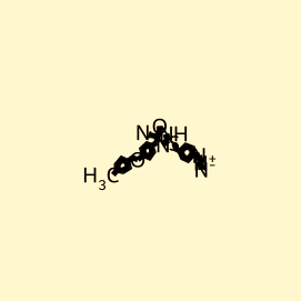 Cc1ccc(COc2ccc(-c3nc(SCc4ccc(N=[N+]=[N-])cc4)[nH]c(=O)c3C#N)cc2)cc1